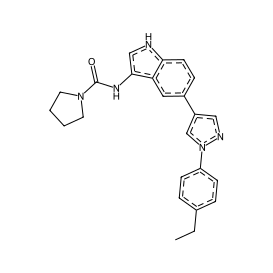 CCc1ccc(-n2cc(-c3ccc4[nH]cc(NC(=O)N5CCCC5)c4c3)cn2)cc1